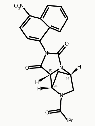 CC(C)C(=O)N1C[C@@H]2C[C@H]1[C@@H]1C(=O)N(c3ccc([N+](=O)[O-])c4ccccc34)C(=O)N21